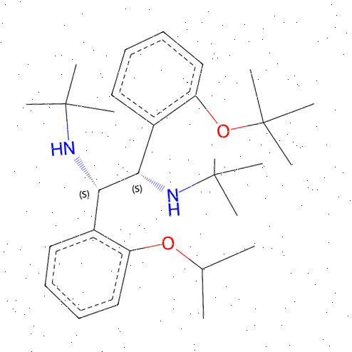 CC(C)Oc1ccccc1[C@H](NC(C)(C)C)[C@@H](NC(C)(C)C)c1ccccc1OC(C)(C)C